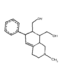 CN1CCC2=CC(c3ccccc3)C(CO)C(CO)C2C1